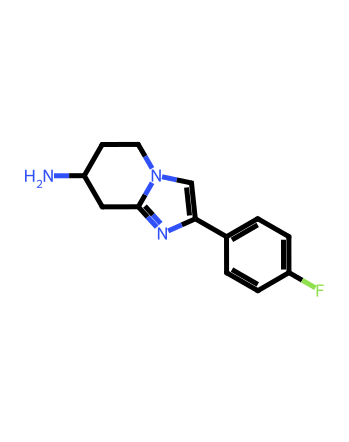 NC1CCn2cc(-c3ccc(F)cc3)nc2C1